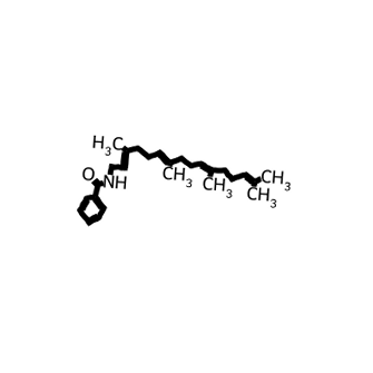 CC(C)=CCC/C(C)=C/CC/C(C)=C/CC/C(C)=C/CNC(=O)c1ccccc1